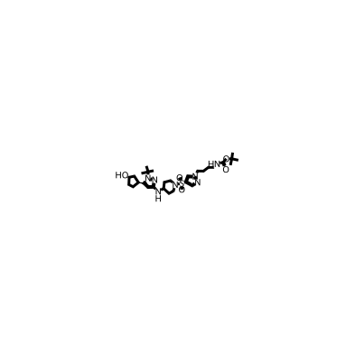 CC(C)(C)OC(=O)NCCCCn1cc(S(=O)(=O)N2CCC(Nc3cc([C@H]4CC[C@@H](O)C4)n(C(C)(C)C)n3)CC2)cn1